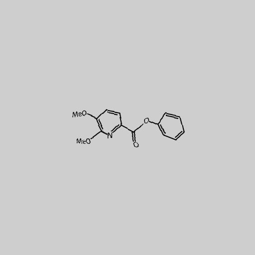 COc1ccc(C(=O)Oc2ccccc2)nc1OC